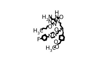 CCCCOc1nc(N)c2[nH]c(=O)n(CCCN(Cc3ccc(CC(=O)OC)cc3)C(=O)CN3CCN(c4ccc(F)cc4)CC3)c2n1